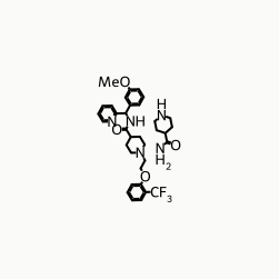 COc1cccc(C(NC(=O)C2CCN(CCOc3ccccc3C(F)(F)F)CC2)c2ccccn2)c1.NC(=O)C1CCNCC1